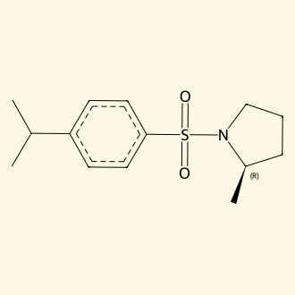 CC(C)c1ccc(S(=O)(=O)N2CCC[C@H]2C)cc1